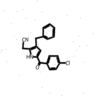 N#CCc1[nH]c(C(=O)c2ccc(Cl)cc2)cc1Cc1ccccc1